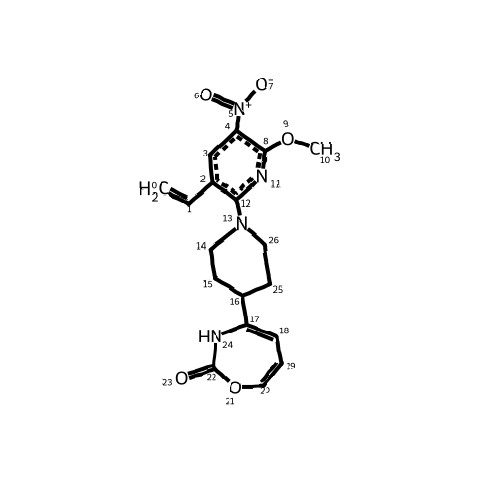 C=Cc1cc([N+](=O)[O-])c(OC)nc1N1CCC(C2=CC=COC(=O)N2)CC1